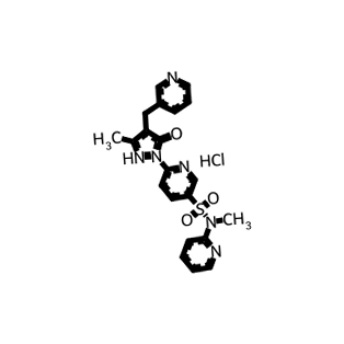 Cc1[nH]n(-c2ccc(S(=O)(=O)N(C)c3ccccn3)cn2)c(=O)c1Cc1cccnc1.Cl